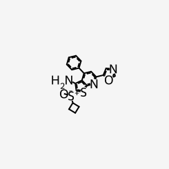 Nc1c([S+]([O-])C2CCC2)sc2nc(-c3cnco3)cc(-c3ccccc3)c12